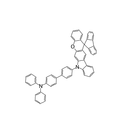 c1ccc(N(c2ccccc2)c2ccc(-c3ccc(-n4c5ccccc5c5cc6c(cc54)Oc4ccccc4C64c5ccccc5-c5ccccc54)cc3)cc2)cc1